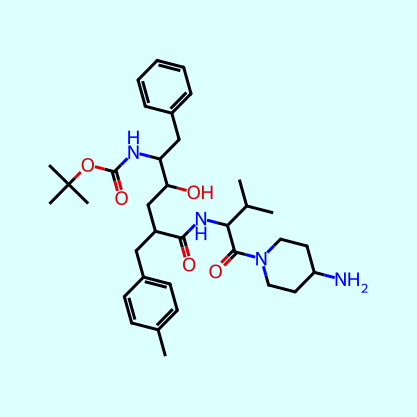 Cc1ccc(CC(CC(O)C(Cc2ccccc2)NC(=O)OC(C)(C)C)C(=O)NC(C(=O)N2CCC(N)CC2)C(C)C)cc1